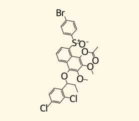 CCC(Oc1c(OC)c(OC)c(OC(C)=O)c2c([S+]([O-])c3ccc(Br)cc3)cccc12)c1ccc(Cl)cc1Cl